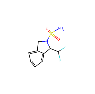 NS(=O)(=O)N1Cc2ccccc2C1C(F)F